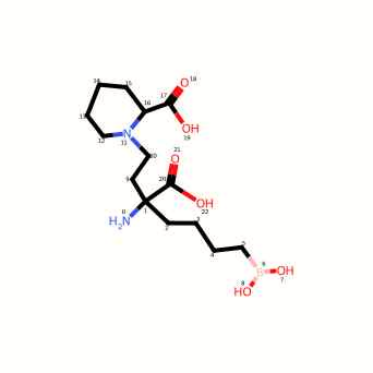 NC(CCCCB(O)O)(CCN1CCCCC1C(=O)O)C(=O)O